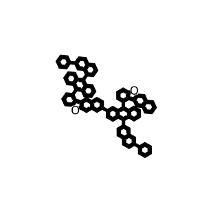 c1ccc(-c2ccc3ccc(-c4c5ccccc5c(-c5cccc6oc7cc8ccccc8cc7c56)c5cc(-c6ccc7cc8c(cc7c6)oc6cccc(-c7c9ccccc9c(-c9cccc%10ccc(-c%11ccccc%11)cc9%10)c9ccccc79)c68)ccc45)cc3c2)cc1